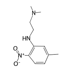 Cc1ccc([N+](=O)[O-])c(NCCN(C)C)c1